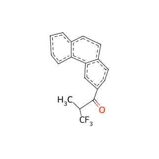 CC(C(=O)c1ccc2ccc3ccccc3c2c1)C(F)(F)F